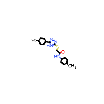 CCc1ccc(-c2nnc(SCC(=O)Nc3ccc(C)cc3)[nH]2)cc1